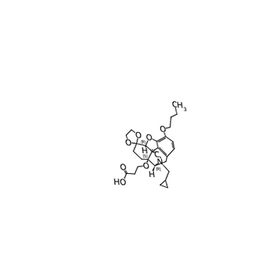 CCCCOc1ccc2c3c1O[C@H]1C4(CC[C@@]5(OCCC(=O)O)[C@@H](C2)N(CC2CC2)CC[C@]315)OCCO4